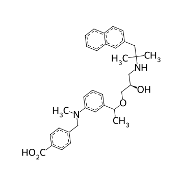 CC(OC[C@H](O)CNC(C)(C)Cc1ccc2ccccc2c1)c1cccc(N(C)Cc2ccc(C(=O)O)cc2)c1